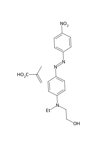 C=C(C)C(=O)O.CCN(CCO)c1ccc(N=Nc2ccc([N+](=O)[O-])cc2)cc1